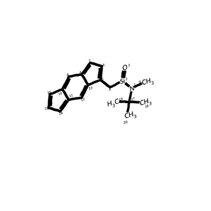 CN([Si](=O)CC1=CC=c2cc3c(cc21)=CC=C3)C(C)(C)C